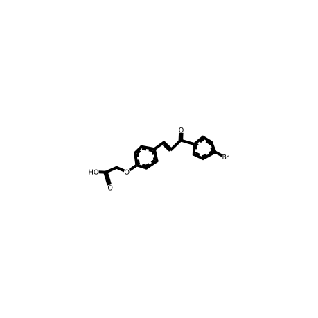 O=C(O)COc1ccc(C=CC(=O)c2ccc(Br)cc2)cc1